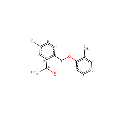 Cc1ccccc1OCc1ccc(Cl)cc1C(O)C(=O)O